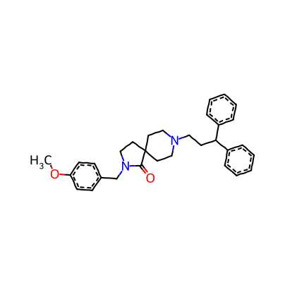 COc1ccc(CN2CCC3(CCN(CCC(c4ccccc4)c4ccccc4)CC3)C2=O)cc1